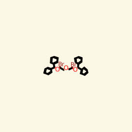 BrC(COCC(Br)OC(c1ccccc1)c1ccccc1)OC(c1ccccc1)c1ccccc1